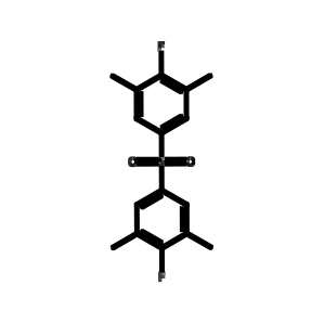 Cc1cc(S(=O)(=O)c2cc(C)c(F)c(C)c2)cc(C)c1F